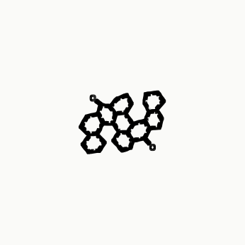 O=c1c2ccc3ccccc3c2c2c3cccc4c(=O)c5ccc6ccccc6c5c(c5cccc1c52)c43